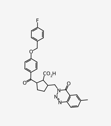 Cc1ccc2nnn(CC3CCC(C(=O)c4ccc(OCc5ccc(F)cc5)cc4)C3C(=O)O)c(=O)c2c1